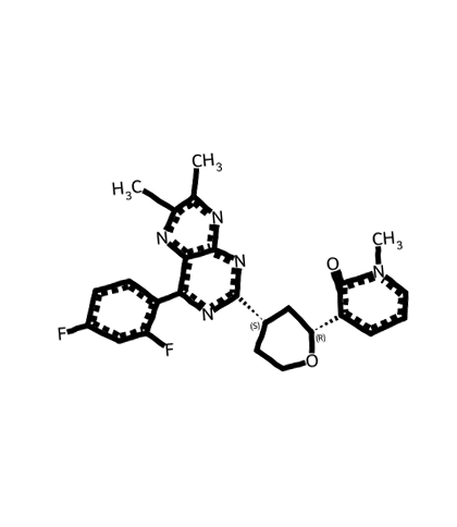 Cc1nc2nc([C@H]3CCO[C@@H](c4cccn(C)c4=O)C3)nc(-c3ccc(F)cc3F)c2nc1C